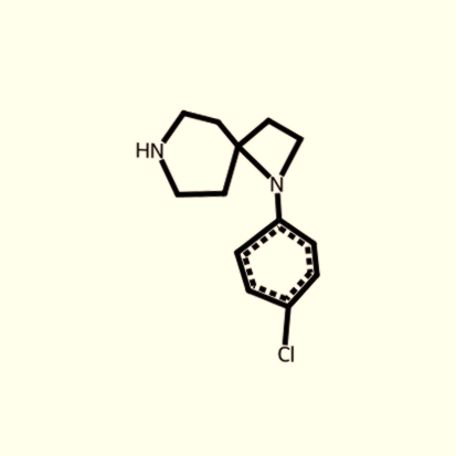 Clc1ccc(N2CCC23CCNCC3)cc1